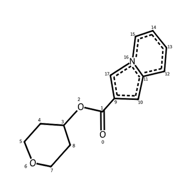 O=C(OC1CCOCC1)c1cc2ccccn2c1